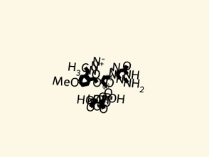 COc1ccc(C(=O)OC2C[C@H](n3cnc4c(=O)[nH]c(N)nc43)O[C@@H]2COP(=O)(O)OP(=O)(O)OP(=O)(O)O)c(C(C)N=[N+]=[N-])c1